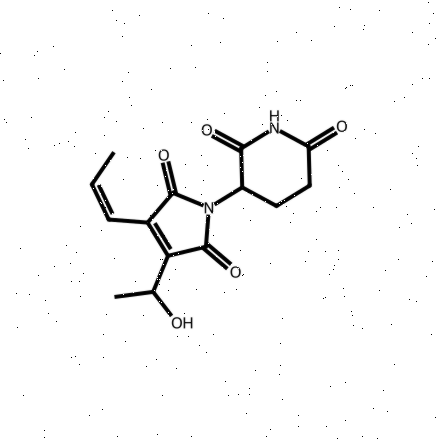 C/C=C\C1=C(C(C)O)C(=O)N(C2CCC(=O)NC2=O)C1=O